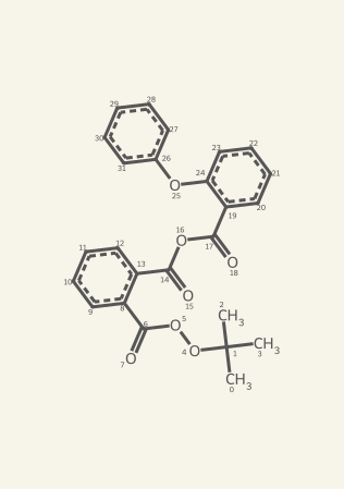 CC(C)(C)OOC(=O)c1ccccc1C(=O)OC(=O)c1ccccc1Oc1ccccc1